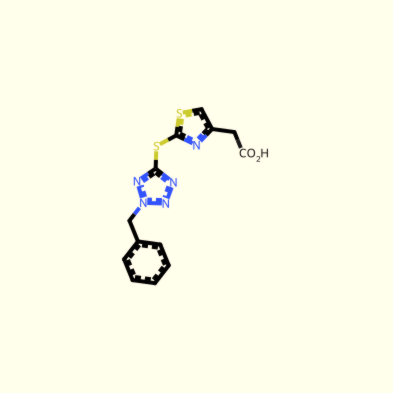 O=C(O)Cc1csc(Sc2nnn(Cc3ccccc3)n2)n1